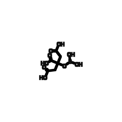 O=C(O)CC(CC(=O)O)(OB(O)O)C(=O)O